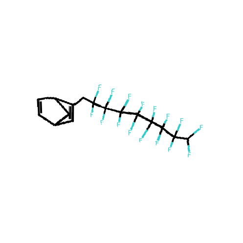 FC(F)C(F)(F)C(F)(F)C(F)(F)C(F)(F)C(F)(F)C(F)(F)C(F)(F)CC1=CC2C=CC1C2